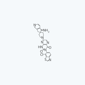 N[C@@H]1c2ccncc2CC12CCN(c1cnc3c(=O)n(-c4ccc5ncsc5c4Cl)c(=O)[nH]c3n1)CC2